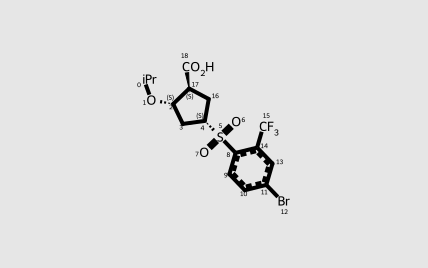 CC(C)O[C@H]1C[C@@H](S(=O)(=O)c2ccc(Br)cc2C(F)(F)F)C[C@@H]1C(=O)O